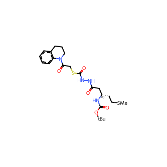 CSCC[C@@H](CC(=O)NNC(=O)SCC(=O)N1CCCc2ccccc21)NC(=O)OC(C)(C)C